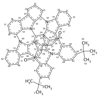 CC(C)(C)c1ccc2c(c1)c(=O)c1cc(-n3c4c(-n5c6ccccc6c6ccccc65)cccc4c4cccc(-n5c6ccccc6c6ccccc65)c43)cc3c(=O)c4cc(C(C)(C)C)ccc4n2c13